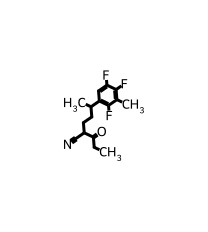 CCC(=O)C(C#N)CCC(C)c1cc(F)c(F)c(C)c1F